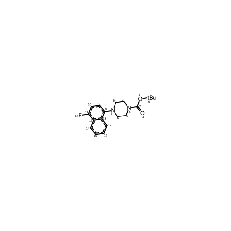 CC(C)(C)OC(=O)N1CCN(c2ccc(F)c3ccccc23)CC1